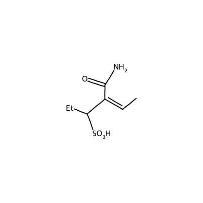 CC=C(C(N)=O)C(CC)S(=O)(=O)O